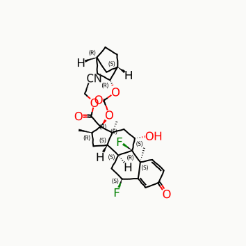 C[C@@H]1C[C@H]2[C@@H]3C[C@H](F)C4=CC(=O)C=C[C@]4(C)[C@@]3(F)[C@@H](O)C[C@]2(C)[C@@]1(OC(=O)O[C@@H]1C[C@@H]2CC[C@H]1C2)C(=O)OCC#N